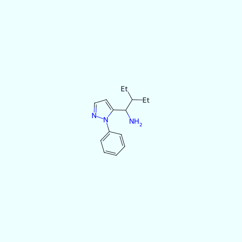 CCC(CC)C(N)c1ccnn1-c1ccccc1